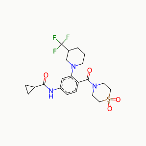 O=C(Nc1ccc(C(=O)N2CCS(=O)(=O)CC2)c(N2CCCC(C(F)(F)F)C2)c1)C1CC1